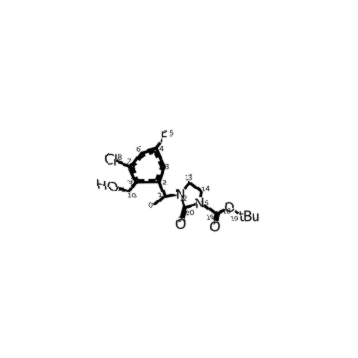 CC(c1cc(F)cc(Cl)c1CO)N1CCN(C(=O)OC(C)(C)C)C1=O